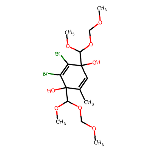 COCOC(OC)C1(O)C=C(C)C(O)(C(OC)OCOC)C(Br)=C1Br